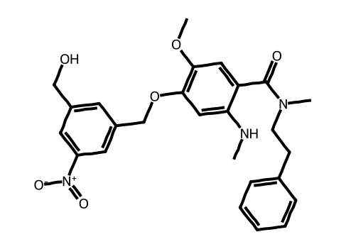 CNc1cc(OCc2cc(CO)cc([N+](=O)[O-])c2)c(OC)cc1C(=O)N(C)CCc1ccccc1